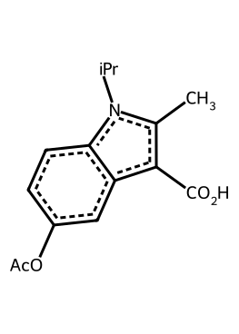 CC(=O)Oc1ccc2c(c1)c(C(=O)O)c(C)n2C(C)C